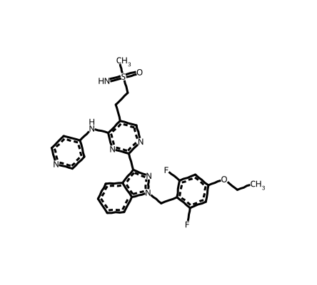 CCOc1cc(F)c(Cn2nc(-c3ncc(CCS(C)(=N)=O)c(Nc4ccncc4)n3)c3ccccc32)c(F)c1